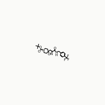 CC(C)(C)OC(=O)N1CCC2(CC1)CC(C(=O)NCc1ccc(C(F)(F)F)cc1)=NO2